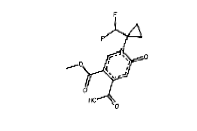 COC(=O)c1cn(C2(C(F)F)CC2)c(=O)cc1C(=O)O